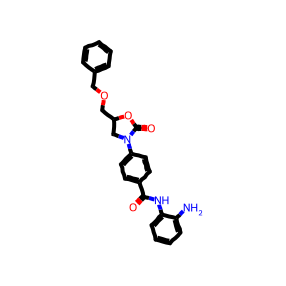 Nc1ccccc1NC(=O)c1ccc(N2CC(COCc3ccccc3)OC2=O)cc1